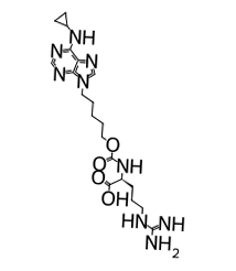 N=C(N)NCCC[C@H](NC(=O)OCCCCCn1cnc2c(NC3CC3)ncnc21)C(=O)O